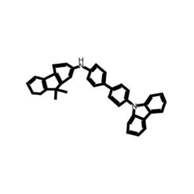 CC1(C)C2=C(C=CCC2)c2ccc(Nc3ccc(-c4ccc(-n5c6ccccc6c6ccccc65)cc4)cc3)cc21